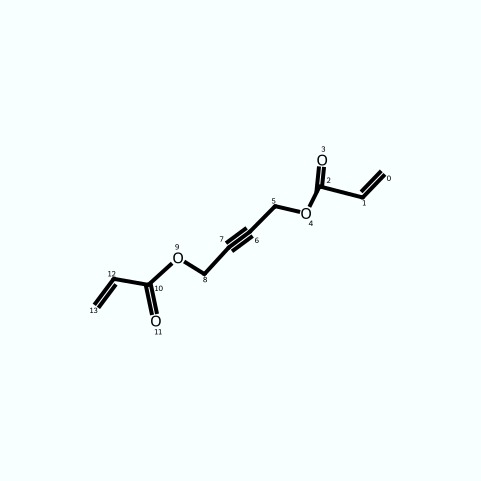 C=CC(=O)OCC#CCOC(=O)C=C